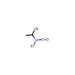 CCN([C]=O)C(C)C#N